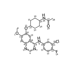 COc1cc2ncnc(Nc3ccc(F)c(Cl)c3)c2cc1OC1CCC(NC(C)=O)CC1